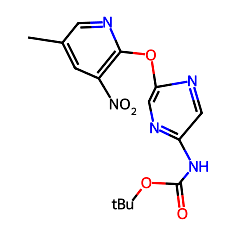 Cc1cnc(Oc2cnc(NC(=O)OC(C)(C)C)cn2)c([N+](=O)[O-])c1